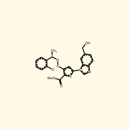 COC(=O)c1sc(-n2cnc3ccc(CO)cc32)cc1OO[C@H](C)c1ccccc1Cl